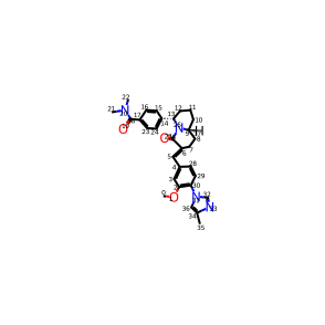 COc1cc(/C=C2\CC[C@H]3CCC[C@@H](c4ccc(C(=O)N(C)C)cc4)N3C2=O)ccc1-n1cnc(C)c1